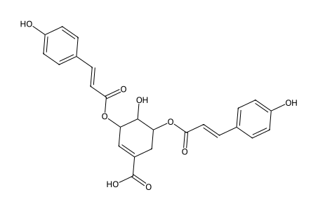 O=C(/C=C/c1ccc(O)cc1)OC1C=C(C(=O)O)CC(OC(=O)/C=C/c2ccc(O)cc2)C1O